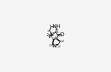 [2H]N1CCNCC1C(=O)c1ccncc1